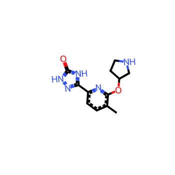 Cc1ccc(-c2n[nH]c(=O)[nH]2)nc1OC1CCNC1